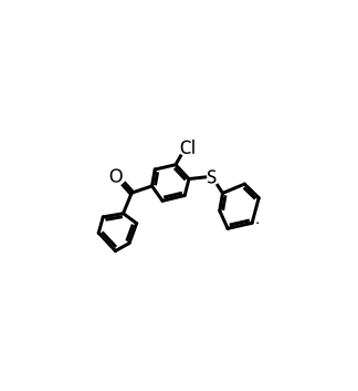 O=C(c1ccccc1)c1ccc(Sc2cc[c]cc2)c(Cl)c1